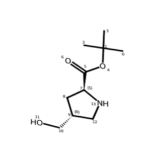 CC(C)(C)OC(=O)[C@@H]1C[C@@H](CO)CN1